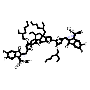 [C-]#[N+]C([N+]#[C-])=C1/C(=C/c2cc(OCC(CC)CCCC)c(-c3cc4c(s3)-c3sc(-c5sc(/C=C6\C(=O)c7cc(F)c(F)cc7\C6=C(/C#N)[N+]#[C-])cc5OCC(CC)CCCC)cc3C4(CC(CC)CCCC)CC(CC)CCCC)s2)C(=O)c2cc(F)c(F)cc21